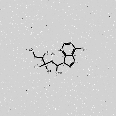 COC([C@@H](O)C(C)(O)[C@H](C)CO)n1cnc2c(N)ncnc21